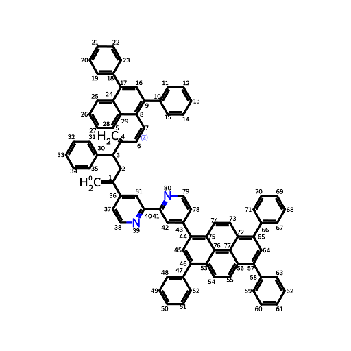 C=C(CC(C(=C)/C=C\c1c(-c2ccccc2)cc(-c2ccccc2)c2ccccc12)c1ccccc1)c1ccnc(-c2cc(-c3cc(-c4ccccc4)c4ccc5c(-c6ccccc6)cc(-c6ccccc6)c6ccc3c4c56)ccn2)c1